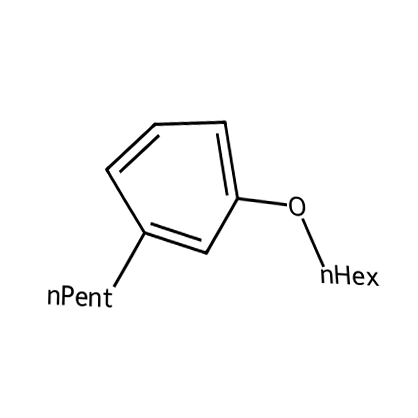 [CH2]CCCCc1cccc(OCCCCCC)c1